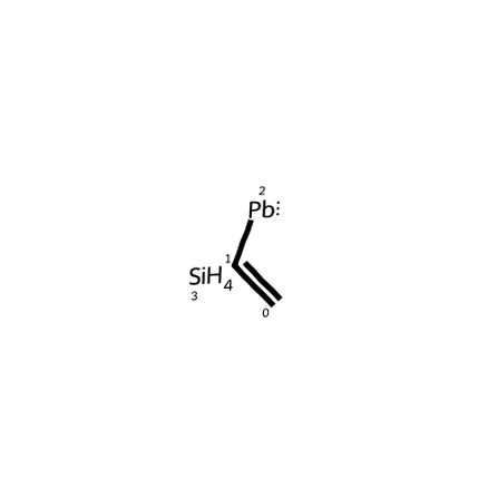 C=[CH][Pb].[SiH4]